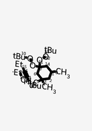 CC1CC(C)(C)CC(OOC(C)(C)C)(OOC(C)(C)C)C1.CCC#CC(C)(C)C.C[CH]C